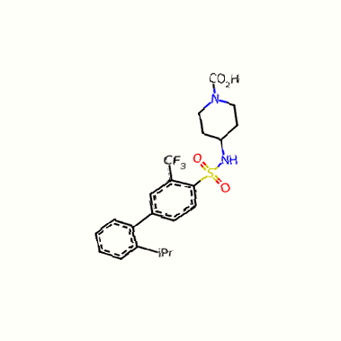 CC(C)c1ccccc1-c1ccc(S(=O)(=O)NC2CCN(C(=O)O)CC2)c(C(F)(F)F)c1